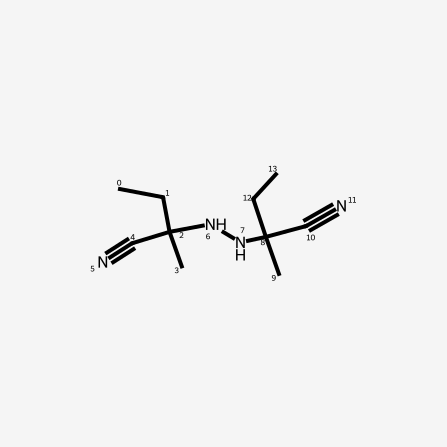 CCC(C)(C#N)NNC(C)(C#N)CC